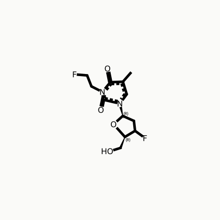 Cc1cn([C@H]2CC(F)[C@@H](CO)O2)c(=O)n(CCF)c1=O